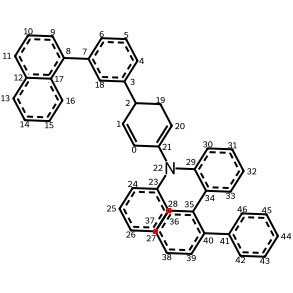 C1=CC(c2cccc(-c3cccc4ccccc34)c2)CC=C1N(c1ccccc1)c1ccccc1-c1ccccc1-c1ccccc1